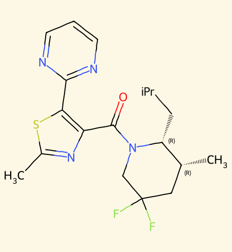 Cc1nc(C(=O)N2CC(F)(F)C[C@@H](C)[C@H]2CC(C)C)c(-c2ncccn2)s1